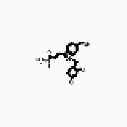 NNC(=O)/C=C/c1nn(Cc2ccc(Cl)cc2Cl)c2cc(CO)ccc12